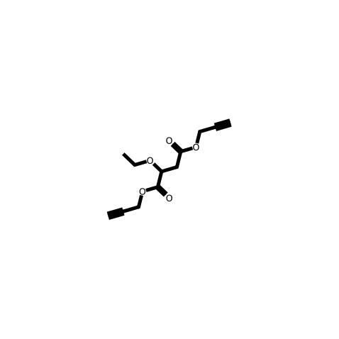 C#CCOC(=O)CC(OCC)C(=O)OCC#C